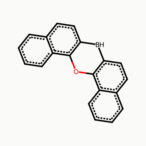 B1c2ccc3ccccc3c2Oc2c1ccc1ccccc21